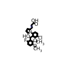 COc1ccc(F)c(C(O)c2cc(Cl)ccc2-n2cccc2/C=C/C(=O)O)c1OC